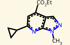 CCOC(=O)c1cc(C2CC2)nc2c1cnn2C